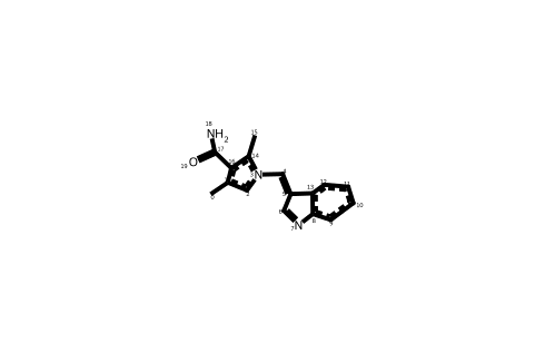 Cc1cn(C=C2C=Nc3ccccc32)c(C)c1C(N)=O